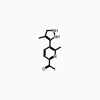 CC1=C(c2ccc(C(=O)I)nc2C)NNC1